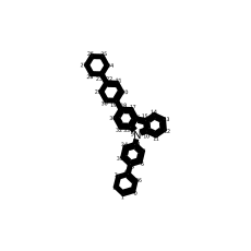 C1=CCCC(c2ccc(-n3c4ccccc4c4cc(C5=CC=C(C6CCCCC6)CC5)ccc43)cc2)=C1